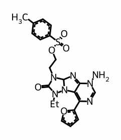 CCN1C(=O)N(CCOS(=O)(=O)c2ccc(C)cc2)C2N=C3C(=C(c4ccco4)N=CN3N)N21